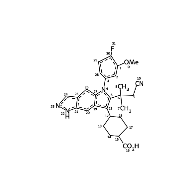 COc1cc(-n2c(C(C)(C)CC#N)c(C3CCC(C(=O)O)CC3)c3cc4[nH]ncc4cc32)ccc1F